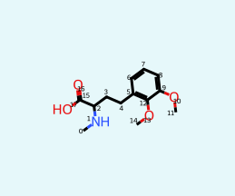 CNC(CCc1cccc(OC)c1OC)C(=O)O